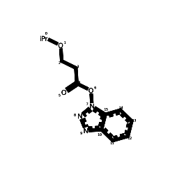 CC(C)OCCC(=O)On1nnc2ccccc21